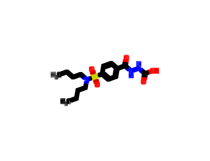 CCCCN(CCCC)S(=O)(=O)c1ccc(C(=O)NNC(=O)O)cc1